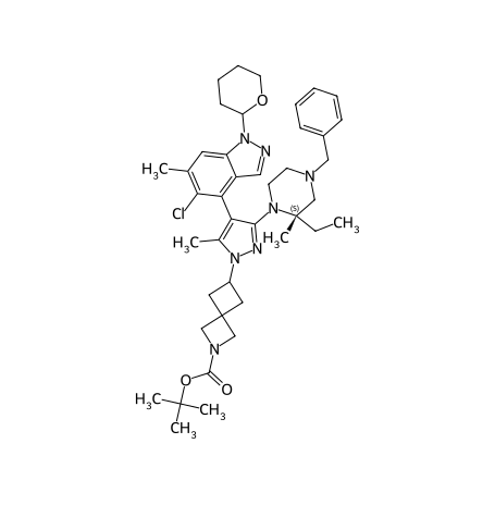 CC[C@@]1(C)CN(Cc2ccccc2)CCN1c1nn(C2CC3(C2)CN(C(=O)OC(C)(C)C)C3)c(C)c1-c1c(Cl)c(C)cc2c1cnn2C1CCCCO1